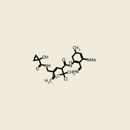 C=C/C(=C\C(C(=O)NC1=C(C=N)C(NC)=CC(C)C1)C(C)(C)Cl)CNC(=O)C1(O)CC1